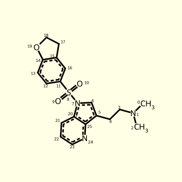 CN(C)CCc1cn(S(=O)(=O)c2ccc3c(c2)CCO3)c2cccnc12